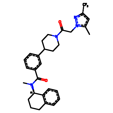 Cc1cc(C(F)(F)F)nn1CC(=O)N1CCC(c2cccc(C(=O)N(C)[C@@H]3CCCc4ccccc43)c2)CC1